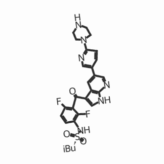 CC[C@@H](C)S(=O)(=O)Nc1ccc(F)c(C(=O)c2c[nH]c3ncc(-c4ccc(N5CCNCC5)nc4)cc23)c1F